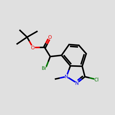 Cn1nc(Cl)c2cccc(C(Br)C(=O)OC(C)(C)C)c21